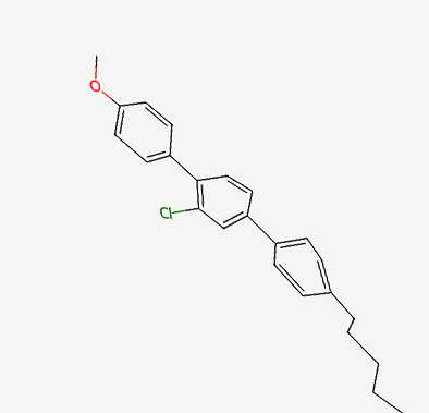 CCCCCc1ccc(-c2ccc(-c3ccc(OC)cc3)c(Cl)c2)cc1